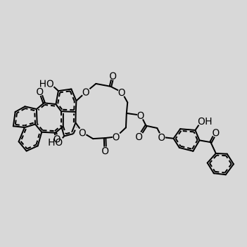 O=C1COc2cc(O)c3c(=O)c4cccc5cccc(c(=O)c6c(O)cc(c2c36)OCC(=O)OCC(OC(=O)COc2ccc(C(=O)c3ccccc3)c(O)c2)CO1)c54